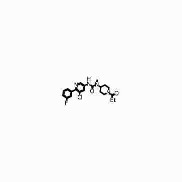 CCC(=O)N1CCC(N(C)C(=O)Nc2cnc(-c3cccc(F)c3)c(Cl)c2)CC1